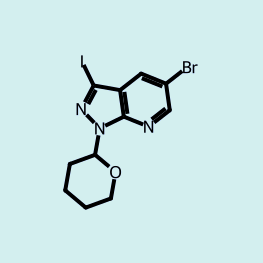 Brc1cnc2c(c1)c(I)nn2C1CCCCO1